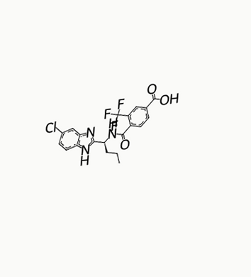 CCC[C@H](NC(=O)c1ccc(C(=O)O)cc1C(F)(F)F)c1nc2cc(Cl)ccc2[nH]1